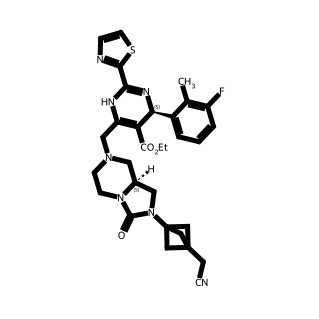 CCOC(=O)C1=C(CN2CCN3C(=O)N(C45CC(CC#N)(C4)C5)C[C@@H]3C2)NC(c2nccs2)=N[C@H]1c1cccc(F)c1C